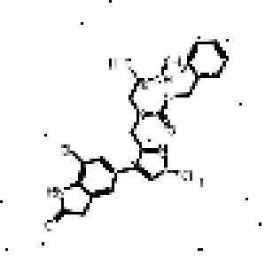 CN[C@H](C)CN(Cc1nn(C)cc1-c1cc(Cl)c2c(c1)CC(=O)N2)C(=O)OCc1ccccc1